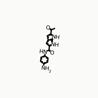 CC(=O)c1cc2cc(C(=O)Nc3ccc(N)cc3)[nH]c2[nH]1